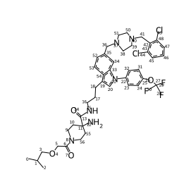 CC(C)COCC(=O)N1CCC(N)(C(=O)NCCCc2cn(-c3ccc(OC(F)(F)F)cc3)c3cc(CN4CCN(Cc5c(Cl)cccc5Cl)CC4)ccc23)CC1